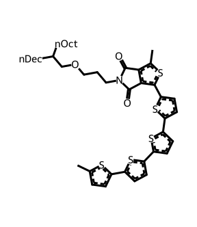 CCCCCCCCCCC(CCCCCCCC)COCCCN1C(=O)c2c(C)sc(-c3ccc(-c4ccc(-c5ccc(-c6ccc(C)s6)s5)s4)s3)c2C1=O